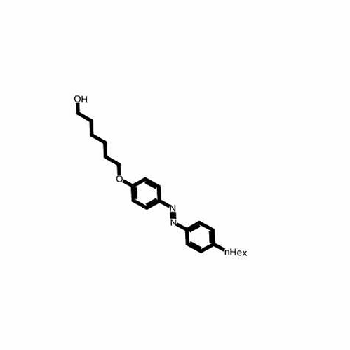 CCCCCCc1ccc(N=Nc2ccc(OCCCCCCO)cc2)cc1